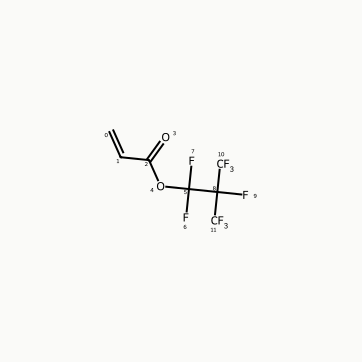 C=CC(=O)OC(F)(F)C(F)(C(F)(F)F)C(F)(F)F